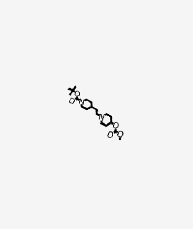 COC(=O)OC1CCN(CCC2CCN(C(=O)OC(C)(C)C)CC2)CC1